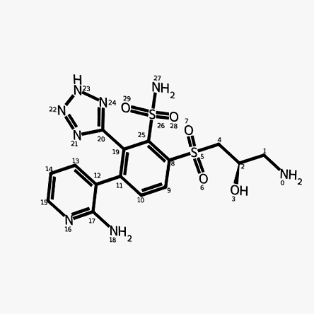 NC[C@@H](O)CS(=O)(=O)c1ccc(-c2cccnc2N)c(-c2nn[nH]n2)c1S(N)(=O)=O